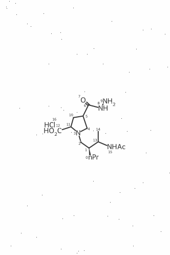 CCC[C@@H](CN1CC(C(=O)NN)CC1C(=O)O)C(C)NC(C)=O.Cl